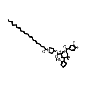 CCC=CCC=CCC=CCC=CCC=CCCCC(=O)N1CCC(NC(=O)C2=CN(C(=O)c3ccc(F)c(F)c3)CC(C)(C)c3c2[nH]c2ccccc32)CC1